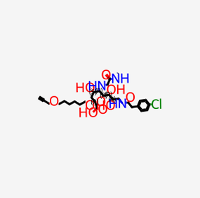 C#CCOCCCCCCO[C@]1(C(=O)O)C[C@H](O)[C@@H](NCC(=O)NC)[C@H]([C@H](O)[C@H](O)CNC(=O)Cc2ccc(Cl)cc2)O1